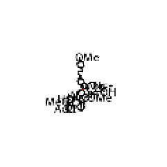 CC[C@]1(O)C[C@H]2CN(CCC3=C(Cc4ccc(SCc5ccc(OC)cc5)cc43)[C@@](C(=O)OC)(C3C=C4C(=CC3OC)N(C)[C@H]3[C@@](O)(C(=O)OC)[C@H](OC(C)=O)[C@]5(CC)C=CCN6CC[C@]43[C@@H]65)C2)C1